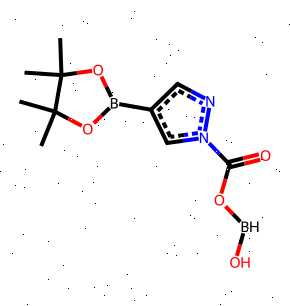 CC1(C)OB(c2cnn(C(=O)OBO)c2)OC1(C)C